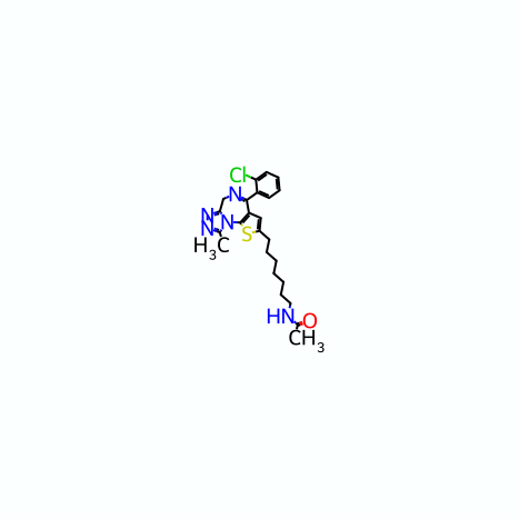 CC(=O)NCCCCCCCc1cc2c(s1)-n1c(C)nnc1CN=C2c1ccccc1Cl